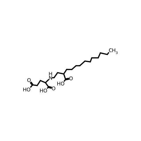 CCCCCCCCCCCC(CCNC(CCC(=O)O)C(=O)O)C(=O)O